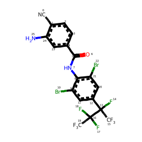 N#Cc1ccc(C(=O)Nc2c(Br)cc(C(F)(C(F)(F)F)C(F)(F)C(F)(F)F)cc2Br)cc1N